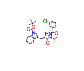 CC(C)N(NC(=O)c1cccc(Cl)c1)C(=O)/C=C/c1cn(C(=O)OC(C)(C)C)c2ccccc12